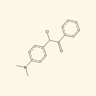 CN(C)c1ccc(C(Cl)C(=O)c2ccccc2)cc1